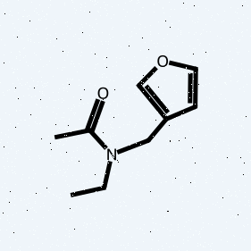 CCN(Cc1ccoc1)C(C)=O